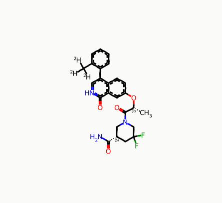 [2H]C([2H])([2H])c1ccccc1-c1c[nH]c(=O)c2cc(O[C@H](C)C(=O)N3C[C@@H](C(N)=O)CC(F)(F)C3)ccc12